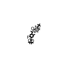 Cc1cc(B2OC(C)(C)C(C)(C)O2)c(F)cc1C(C)NC(=O)c1nc(C(C)(C)C)no1